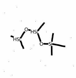 C[SiH](C)O[SiH](C)O[Si](C)(C)C